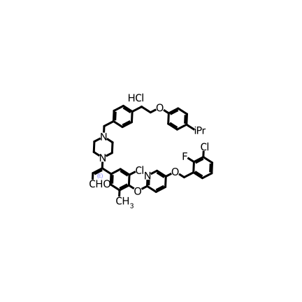 Cc1cc(/C(=C\C=O)N2CCN(Cc3ccc(CCOc4ccc(C(C)C)cc4)cc3)CC2)cc(Cl)c1Oc1ccc(OCc2cccc(Cl)c2F)cn1.Cl